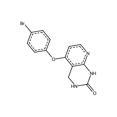 O=C1NCc2c(Oc3ccc(Br)cc3)ccnc2N1